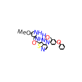 CO[C@@H]1CNC[C@](C)(NC(=O)c2sc3nccc4c3c2NC(=O)N4c2ccc(Oc3ccccc3)cc2C)C1